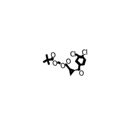 CC(C)(C)C(=O)OCOC(=O)C1C[C@@H]1C(=O)c1ccc(Cl)c(Cl)c1